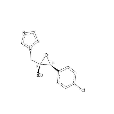 CC(C)(C)[C@@]1(Cn2cncn2)O[C@H]1c1ccc(Cl)cc1